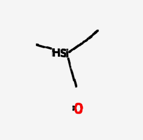 C[SiH](C)C.[O]